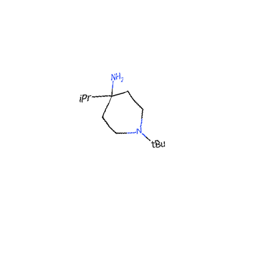 CC(C)C1(N)CCN(C(C)(C)C)CC1